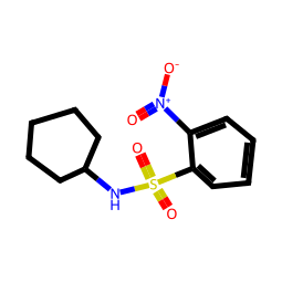 O=[N+]([O-])c1ccccc1S(=O)(=O)NC1CCCCC1